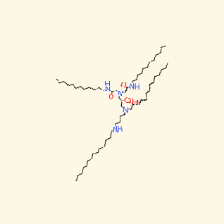 CCCCCCCCCCCCCCNCCCCN(CCCCCCCCCCCCCC)CC(O)CN(CC(=O)NCCCCCCCCCCCC)CC(=O)NCCCCCCCCCCCC